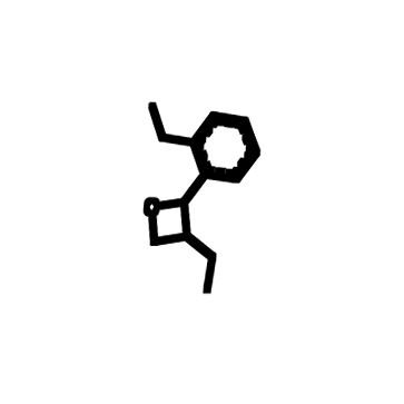 CCc1ccccc1C1OCC1CC